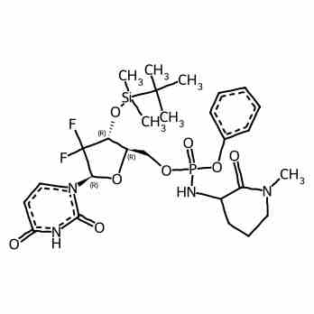 CN1CCCC(NP(=O)(OC[C@H]2O[C@@H](n3ccc(=O)[nH]c3=O)C(F)(F)[C@@H]2O[Si](C)(C)C(C)(C)C)Oc2ccccc2)C1=O